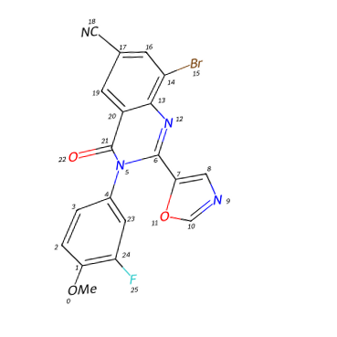 COc1ccc(-n2c(-c3cnco3)nc3c(Br)cc(C#N)cc3c2=O)cc1F